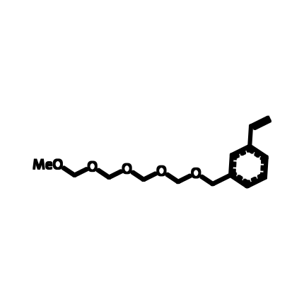 C=Cc1cccc(COCOCOCOCOC)c1